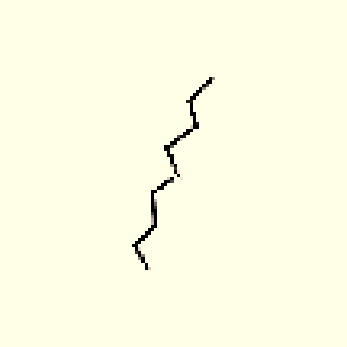 CCC[CH]SCCCC